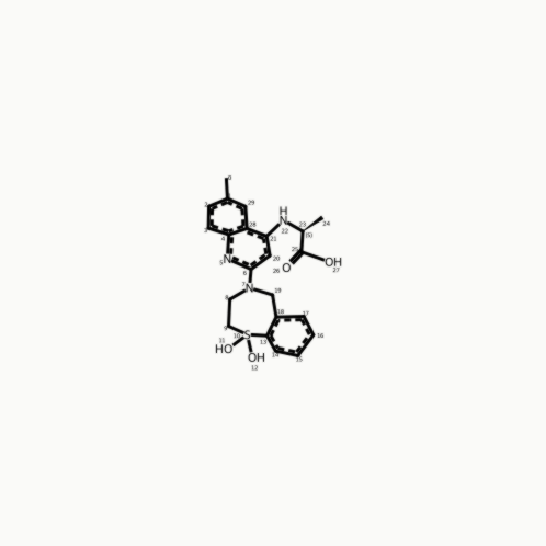 Cc1ccc2nc(N3CCS(O)(O)c4ccccc4C3)cc(N[C@@H](C)C(=O)O)c2c1